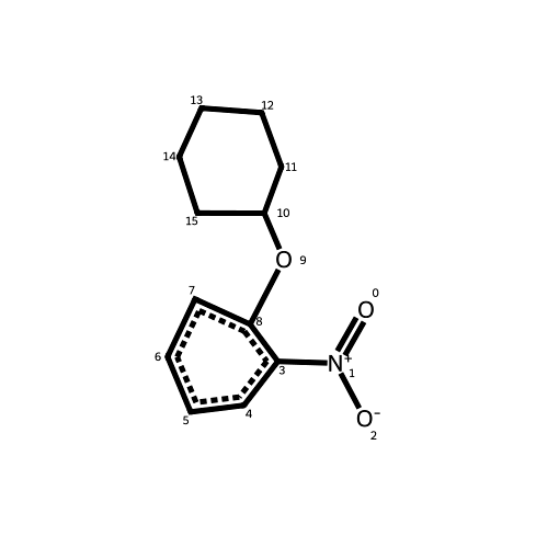 O=[N+]([O-])c1ccccc1OC1CCCCC1